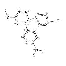 COc1nnc(-c2ccc(F)cc2)c(-c2ccc(N(C)C)cc2)n1